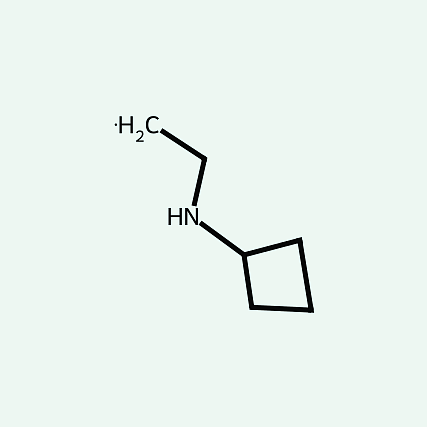 [CH2]CNC1CCC1